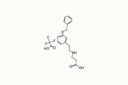 O=C(O)C(F)(F)F.O=C(O)CCNCCc1cccc(OCc2ccccc2)c1